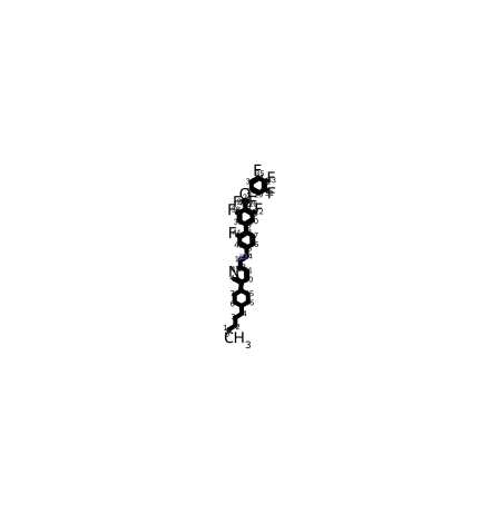 CCCCCC1CCC(c2ccc(/C=C/c3ccc(-c4cc(F)c(C(F)(F)Oc5cc(F)c(F)c(F)c5)c(F)c4)c(F)c3)nc2)CC1